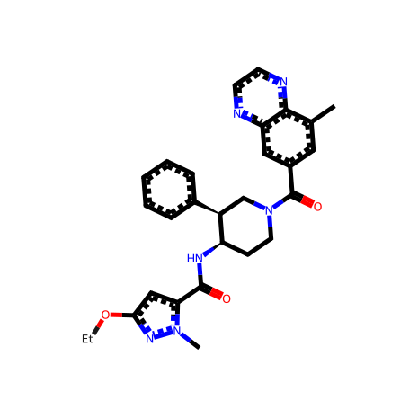 CCOc1cc(C(=O)N[C@@H]2CCN(C(=O)c3cc(C)c4nccnc4c3)C[C@@H]2c2ccccc2)n(C)n1